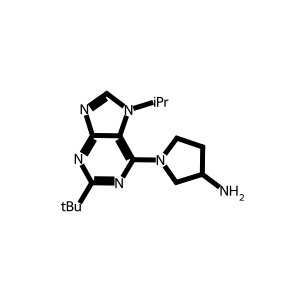 CC(C)n1cnc2nc(C(C)(C)C)nc(N3CCC(N)C3)c21